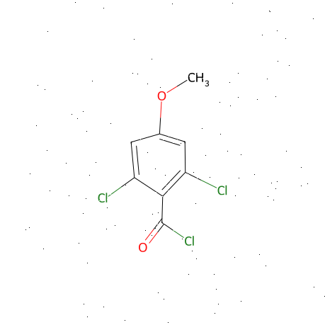 COc1cc(Cl)c(C(=O)Cl)c(Cl)c1